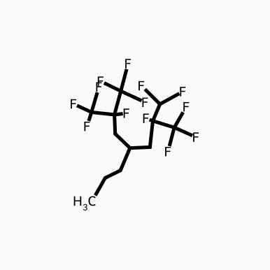 CCCC(CC(F)(C(F)F)C(F)(F)F)CC(F)(C(F)(F)F)C(F)(F)F